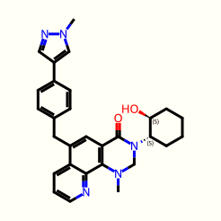 CN1CN([C@H]2CCCC[C@@H]2O)C(=O)c2cc(Cc3ccc(-c4cnn(C)c4)cc3)c3cccnc3c21